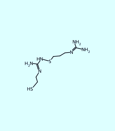 NC(N)=NCCCSNC(N)=NCCS